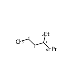 CCCC(CC)CCCl